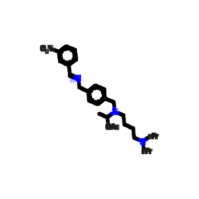 CCCN(CCC)CCCCN(Cc1ccc(C/N=C/c2cccc([N+](=O)[O-])c2)cc1)C(C)OC(C)=O